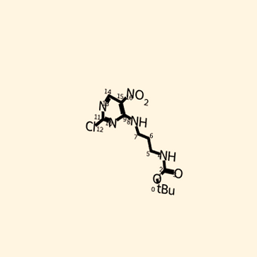 CC(C)(C)OC(=O)NCCCNc1nc(Cl)ncc1[N+](=O)[O-]